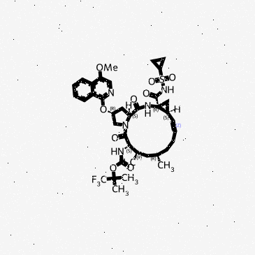 COc1cnc(O[C@@H]2C[C@H]3C(=O)N[C@]4(C(=O)NS(=O)(=O)C5CC5)C[C@H]4/C=C\CC[C@@H](C)C[C@@H](C)[C@H](NC(=O)OC(C)(C)C(F)(F)F)C(=O)N3C2)c2ccccc12